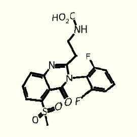 CS(=O)(=O)c1cccc2nc(CCNC(=O)O)n(-c3c(F)cccc3F)c(=O)c12